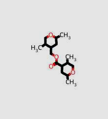 CC1CC(COC(=O)C2CC(C)OCC2C)C(C)CO1